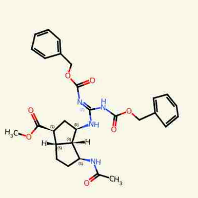 COC(=O)[C@H]1C[C@@H](N/C(=N/C(=O)OCc2ccccc2)NC(=O)OCc2ccccc2)[C@H]2[C@@H]1CC[C@@H]2NC(C)=O